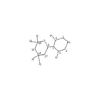 CC1CCCC(C)C1[C]1CC(C)(C)CC(C)(C)C1